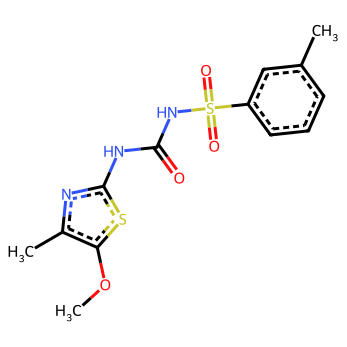 COc1sc(NC(=O)NS(=O)(=O)c2cccc(C)c2)nc1C